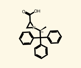 C[C@H](N1CC1C(=O)O)C(c1ccccc1)(c1ccccc1)c1ccccc1